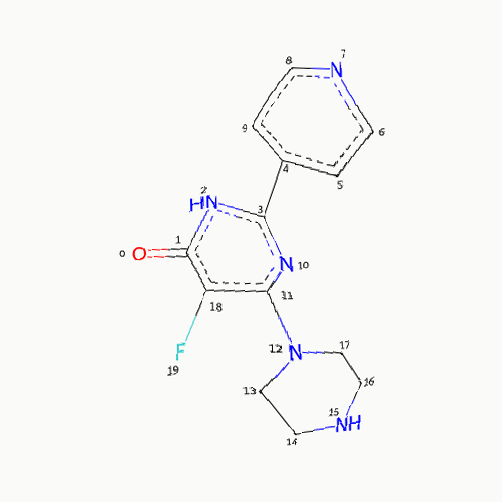 O=c1[nH]c(-c2ccncc2)nc(N2CCNCC2)c1F